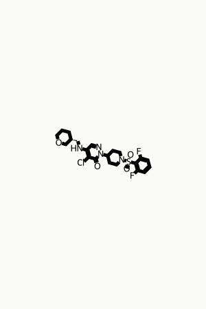 O=c1c(Cl)c(NC[C@H]2CCCOC2)cnn1C1CCN(S(=O)(=O)c2c(F)cccc2F)CC1